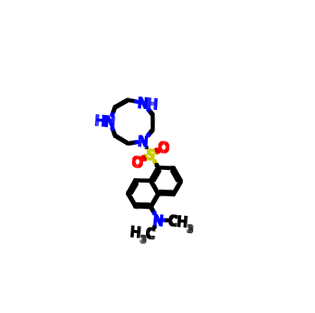 CN(C)c1cccc2c(S(=O)(=O)N3CCNCCNCC3)cccc12